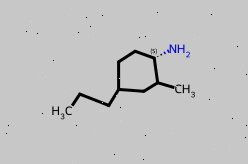 CCCC1CC[C@H](N)C(C)C1